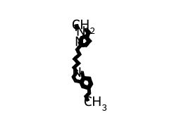 C=Cn1ccc2ccc(CCCCCN3CCc4cc(CCC)ccc4C3)nc21